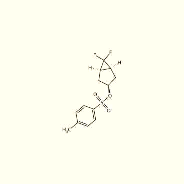 Cc1ccc(S(=O)(=O)O[C@H]2C[C@@H]3[C@H](C2)C3(F)F)cc1